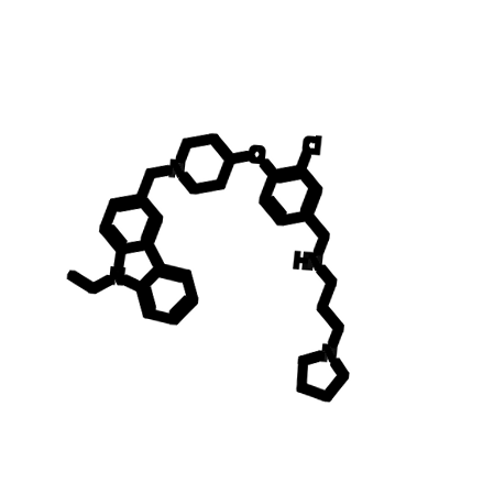 CCn1c2ccccc2c2cc(CN3CCC(Oc4ccc(CNCCCN5CCCC5)cc4Cl)CC3)ccc21